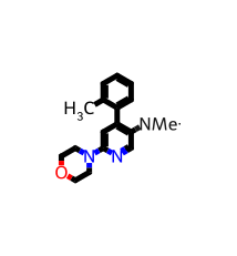 C[N]c1cnc(N2CCOCC2)cc1-c1ccccc1C